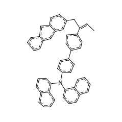 C/C=C(/Cc1ccc2cc3ccccc3cc2c1)c1ccc(-c2ccc(N(c3cccc4ccccc34)c3cccc4ccccc34)cc2)cc1